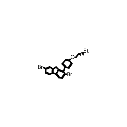 CCOCCOc1ccc(-c2c(Br)ccc3c2Cc2cc(Br)ccc2-3)cc1